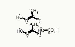 CCC(C)=NO.CCC(C)=NO.O=C(O)O